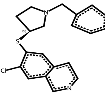 Clc1cc2cnccc2cc1S[C@H]1CCN(Cc2ccccc2)C1